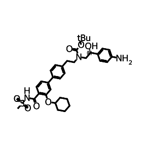 CC(C)(C)OC(=O)N(CCc1ccc(-c2ccc(C(=O)NS(C)(=O)=O)c(OC3CCCCC3)c2)cc1)C[C@H](O)c1ccc(N)cc1